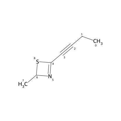 CCC#CC1=NC(C)S1